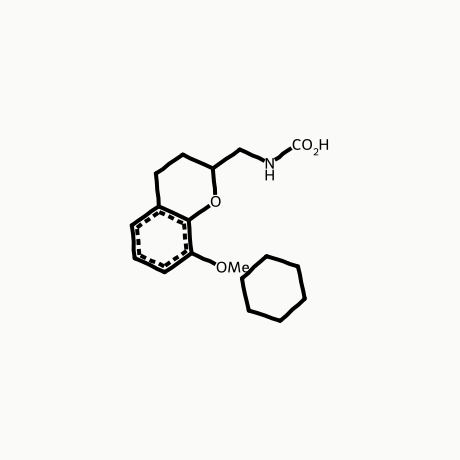 C1CCCCC1.COc1cccc2c1OC(CNC(=O)O)CC2